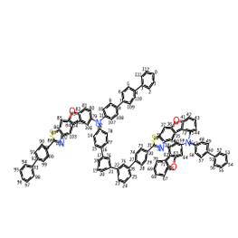 c1ccc(-c2ccc(-c3ccc(N(c4ccc(-c5cccc(-c6cccc(-c7ccc(-c8nc9cc%10c(cc9s8)oc8cccc(N(c9ccc(-c%11ccccc%11)cc9)c9ccc%11c(c9)oc9ccccc9%11)c8%10)cc7)c6)c5)cc4)c4ccc5oc6cc7sc(-c8ccc(-c9ccccc9)cc8)nc7cc6c5c4)cc3)cc2)cc1